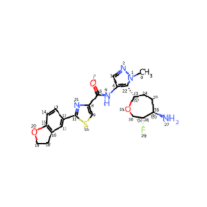 Cn1ncc(NC(=O)c2csc(-c3ccc4c(c3)CCO4)n2)c1[C@@H]1CC[C@@H](N)[C@H](F)CO1